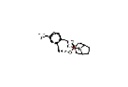 CC(C)(C)OC(=O)N1C2CCC1CC(OCc1ccc(C(F)(F)F)cc1F)C2